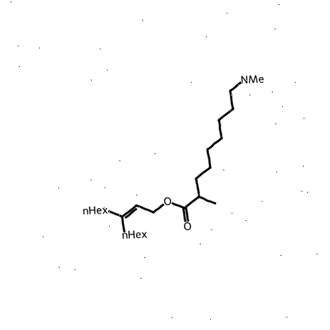 CCCCCCC(=CCOC(=O)C(C)CCCCCCCNC)CCCCCC